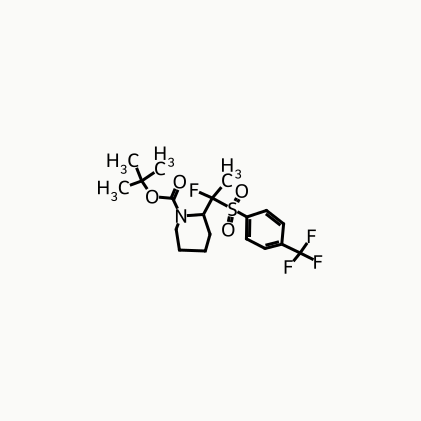 CC(C)(C)OC(=O)N1CCCCC1C(C)(F)S(=O)(=O)c1ccc(C(F)(F)F)cc1